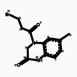 Cc1ccc2c(c1)N(C(=O)CCBr)CC(=O)N2